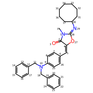 CN1C(=O)/C(=C\c2ccc(N(Cc3ccccc3)Cc3ccccc3)cc2)O/C1=N/C1CCCCCCC1